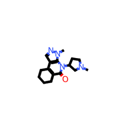 CN1CCC(n2c(=O)c3c(c4cnn(C)c42)CCCC3)C1